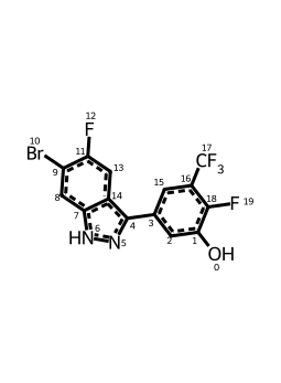 Oc1cc(-c2n[nH]c3cc(Br)c(F)cc23)cc(C(F)(F)F)c1F